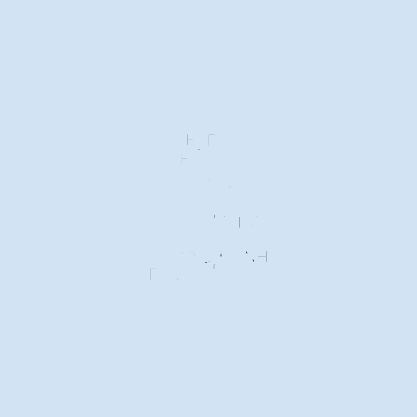 Cl.Fc1ccc([C@@H]2CCNC[C@H]2COCc2cccc(C(F)(F)F)c2)cc1